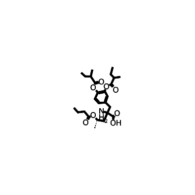 CCCC(=O)O[C@@H](C)CC(N)(Cc1ccc(OC(=O)C(C)CC)c(OC(=O)C(C)CC)c1)C(=O)O